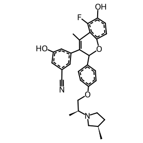 CC1=C(c2cc(O)cc(C#N)c2)C(c2ccc(OC[C@H](C)N3CC[C@@H](C)C3)cc2)Oc2ccc(O)c(F)c21